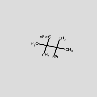 CCCCCC(C)(C)C(C)(C)CCC